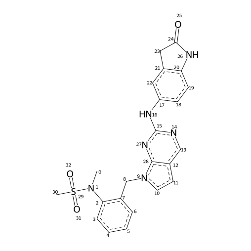 CN(c1ccccc1Cn1ccc2cnc(Nc3ccc4c(c3)CC(=O)N4)nc21)S(C)(=O)=O